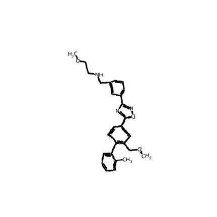 COCCNCc1cccc(-c2noc(-c3ccc(-c4ccccc4C)c(COC)c3)n2)c1